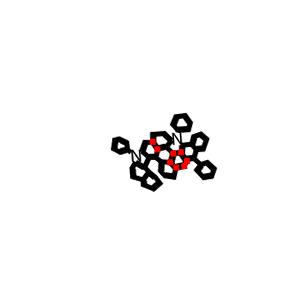 c1ccc(-c2c3ccccc3c(N(c3ccccc3)c3ccccc3-c3cccc4cccc(-c5cccc6c5c5c7ccccc7ccc5n6-c5ccccc5)c34)c3ccccc23)cc1